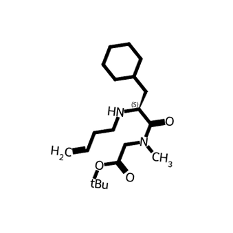 C=CCCN[C@@H](CC1CCCCC1)C(=O)N(C)CC(=O)OC(C)(C)C